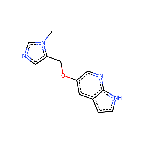 Cn1cncc1COc1cnc2[nH]ccc2c1